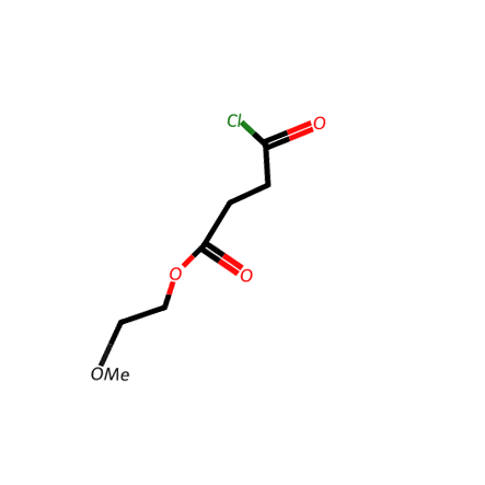 COCCOC(=O)CCC(=O)Cl